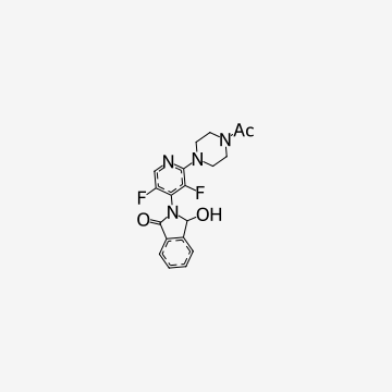 CC(=O)N1CCN(c2ncc(F)c(N3C(=O)c4ccccc4C3O)c2F)CC1